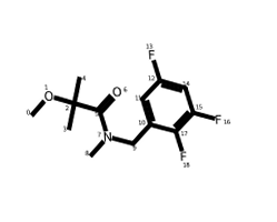 COC(C)(C)C(=O)N(C)Cc1cc(F)cc(F)c1F